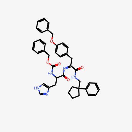 O=C(NC(Cc1c[nH]cn1)C(=O)N=C(Cc1ccc(OCc2ccccc2)cc1)C(=O)NCC1(c2ccccc2)CCCC1)OCc1ccccc1